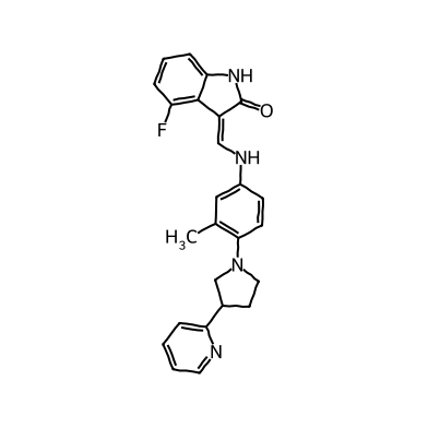 Cc1cc(NC=C2C(=O)Nc3cccc(F)c32)ccc1N1CCC(c2ccccn2)C1